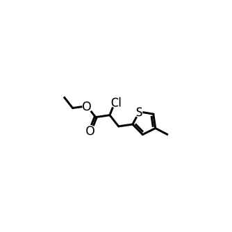 CCOC(=O)C(Cl)Cc1cc(C)cs1